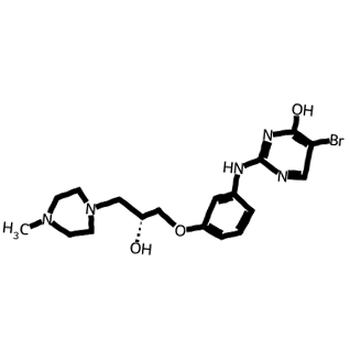 CN1CCN(C[C@@H](O)COc2cccc(Nc3ncc(Br)c(O)n3)c2)CC1